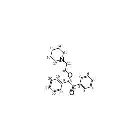 O=C(c1ccccc1)C(OCCN1CCCCC1)c1ccccc1